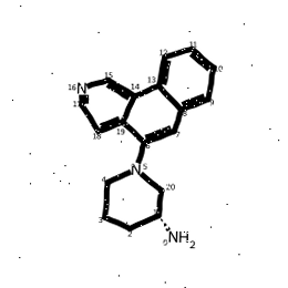 N[C@@H]1CCCN(c2cc3ccccc3c3cnccc23)C1